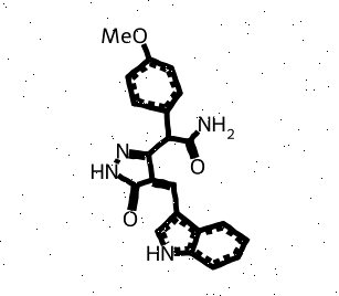 COc1ccc(C(C(N)=O)C2=NNC(=O)/C2=C\c2c[nH]c3ccccc23)cc1